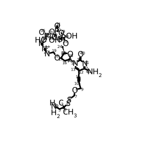 CC(C)(CN)SSCOCC#Cc1cn([C@H]2CC(OCN=[N+]=[N-])[C@@H](COP(=O)(O)OP(=O)(O)OP(=O)(O)O)O2)c(=O)nc1N